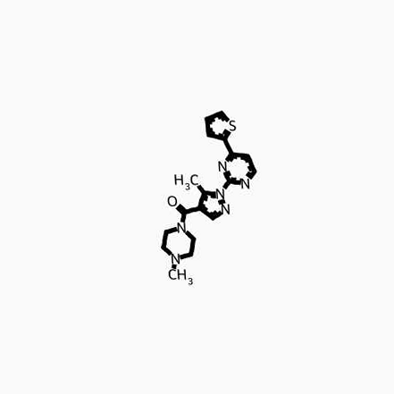 Cc1c(C(=O)N2CCN(C)CC2)cnn1-c1nccc(-c2cccs2)n1